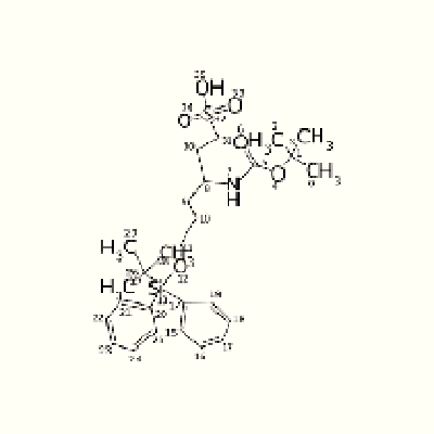 CC(C)(C)OC(=O)NC(CCCO[Si](c1ccccc1)(c1ccccc1)C(C)(C)C)CCS(=O)(=O)O